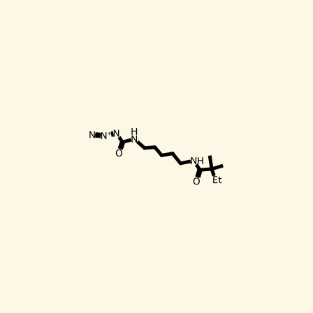 CCC(C)(C)C(=O)NCCCCCNC(=O)N=[N+]=[N-]